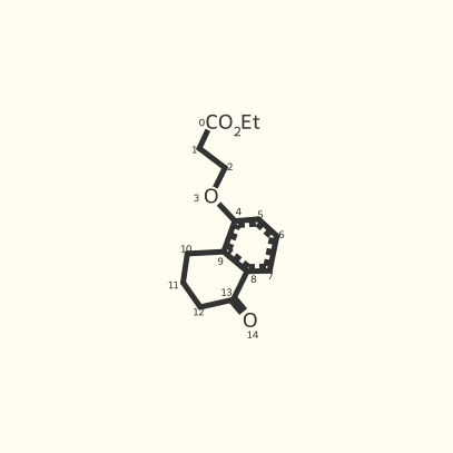 CCOC(=O)CCOc1cccc2c1CCCC2=O